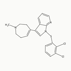 CN1CCC=C(c2cn(Sc3cccc(Cl)c3Cl)c3ncccc23)CC1